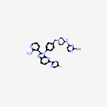 N#Cc1nccc(NC2CCN(Cc3ccc(-n4c(-c5cccnc5N)nc5ccc(-c6ncc(F)cn6)nc54)cc3)CC2)n1